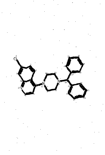 Clc1ccc2c(N3CCN(C(c4ccccc4)c4ccccc4)CC3)ccnc2c1